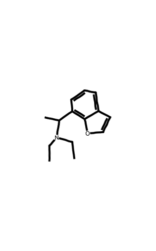 CCN(CC)C(C)c1cccc2ccoc12